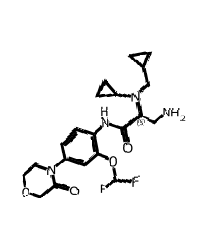 NC[C@@H](C(=O)Nc1ccc(N2CCOCC2=O)cc1OC(F)F)N(CC1CC1)C1CC1